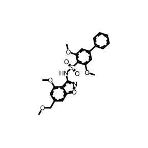 COCc1cc(OC)c2c(NS(=O)(=O)c3c(OC)cc(-c4ccccc4)cc3OC)noc2c1